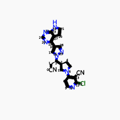 N#CC[C@@H]([C@H]1CCN(c2ccnc(Cl)c2C#N)C1)n1cc(-c2ncnc3[nH]ccc23)cn1